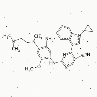 COc1cc(N(C)CCN(C)C)c(N)cc1Nc1ncc(C#N)c(-c2cn(C3CC3)c3ccccc23)n1